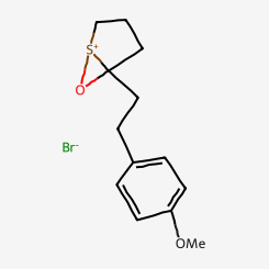 COc1ccc(CCC23CCC[S+]2O3)cc1.[Br-]